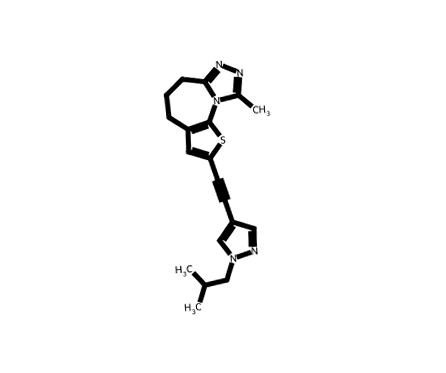 Cc1nnc2n1-c1sc(C#Cc3cnn(CC(C)C)c3)cc1CCC2